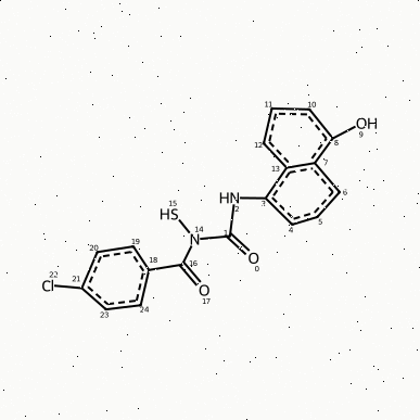 O=C(Nc1cccc2c(O)cccc12)N(S)C(=O)c1ccc(Cl)cc1